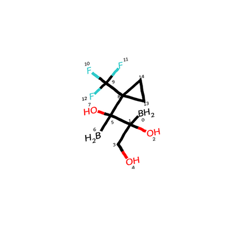 BC(O)(CO)C(B)(O)C1(C(F)(F)F)CC1